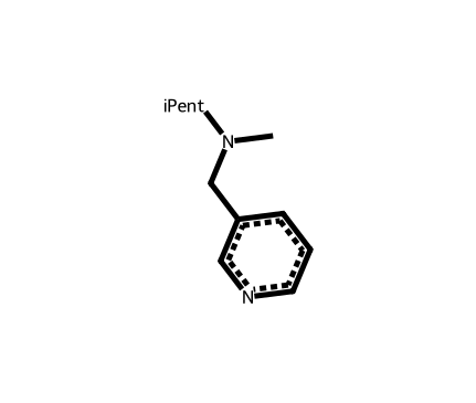 CCCC(C)N(C)Cc1cccnc1